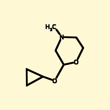 CN1CCOC(OC2CC2)C1